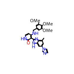 COc1cc(CNc2cc[nH]c(=O)c2-c2nc3c(C)cc(-n4ccnc4)cc3[nH]2)cc(OC)c1OC